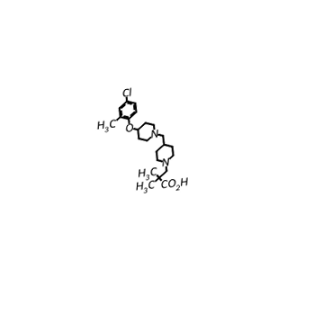 Cc1cc(Cl)ccc1OC1CCN(CC2CCN(CC(C)(C)C(=O)O)CC2)CC1